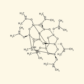 C[SiH](C)O[Si]12O[C@]34O[Si@@]5(O[SiH](C)C)O[Si@](O[SiH](C)C)(O1)O[Si]1(O[SiH](C)C)O[Si]3(O[SiH](C)C)O[Si@](O[SiH](C)C)(O[Si@@](O[SiH](C)C)(O2)O1)O[Si@]4(O[SiH](C)C)O5